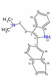 CN(C)CCc1c(-c2ccc3ccccc3c2)[nH]c2ccccc12